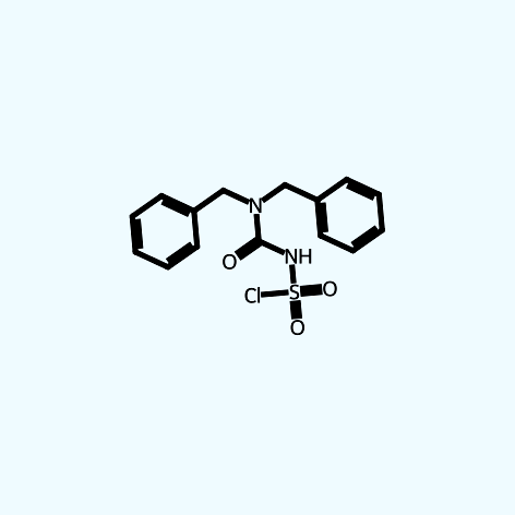 O=C(NS(=O)(=O)Cl)N(Cc1ccccc1)Cc1ccccc1